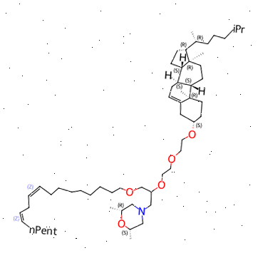 CCCCC/C=C\C/C=C\CCCCCCCCOCC(CN1C[C@@H](C)O[C@@H](C)C1)OCCOCCO[C@H]1CC[C@@]2(C)C(=CC[C@H]3[C@@H]4CC[C@H]([C@H](C)CCCC(C)C)[C@@]4(C)CC[C@@H]32)C1